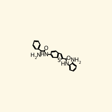 Nc1ccccc1NC(=O)c1cc2ccc(NC(=O)[C@H](N)c3ccccc3)cc2s1